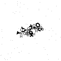 CCC[C@H](NC(=O)[C@@H]1[C@@H]2[C@H](CN1C(=O)[C@@H](NC(=O)NC1([C@@H]3CCS3(=O)=O)CCCCC1)C(C)(C)C)C2(C)C)C(O)C(=O)NC1CC1